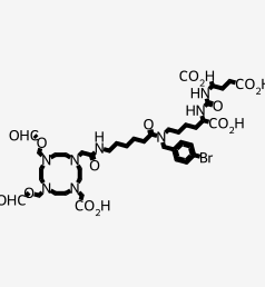 O=COCN1CCN(COC=O)CCN(CC(=O)NCCCCCC(=O)N(CCCCC(NC(=O)NC(CCC(=O)O)C(=O)O)C(=O)O)Cc2ccc(Br)cc2)CCN(CC(=O)O)CC1